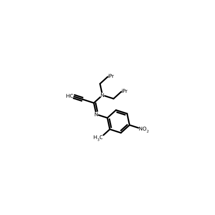 C#CC(=Nc1ccc([N+](=O)[O-])cc1C)N(CC(C)C)CC(C)C